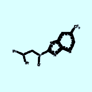 CC(C)N(C[S+]([O-])c1nc2ncc(C(F)(F)F)cc2s1)C(C)C